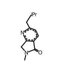 CC(C)Cc1ccc2c(n1)CN(C)C2=O